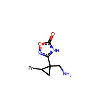 CC(C)C1CC1(CN)c1noc(=O)[nH]1